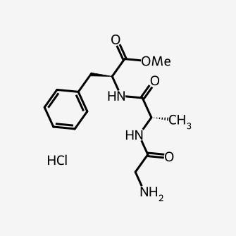 COC(=O)[C@H](Cc1ccccc1)NC(=O)[C@H](C)NC(=O)CN.Cl